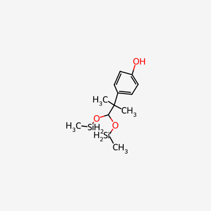 C[SiH2]OC(O[SiH2]C)C(C)(C)c1ccc(O)cc1